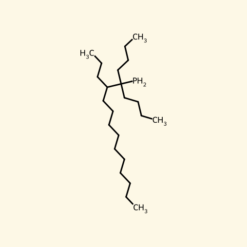 CCCCCCCCCCC(CCC)C(P)(CCCC)CCCC